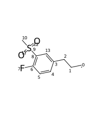 [CH2]CCc1ccc(F)c(S(C)(=O)=O)c1